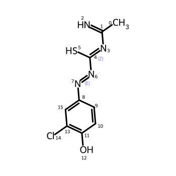 CC(=N)/N=C(S)/N=N/c1ccc(O)c(Cl)c1